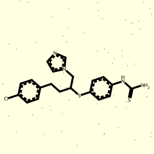 NC(=S)Nc1ccc(SC(CCc2ccc(Cl)cc2)Cn2ccnc2)cc1